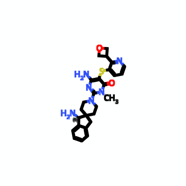 Cn1c(N2CCC3(CC2)Cc2ccccc2[C@H]3N)nc(N)c(Sc2cccnc2C2COC2)c1=O